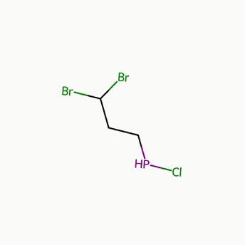 ClPCCC(Br)Br